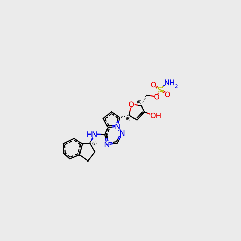 NS(=O)(=O)OC[C@H]1O[C@@H](c2ccc3c(N[C@H]4CCc5ccccc54)ncnn23)C=C1O